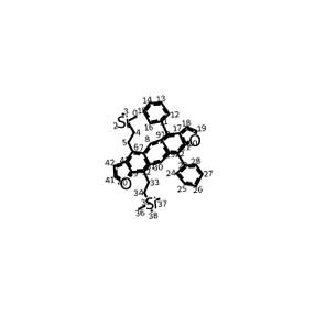 C[Si](C)(C)CCc1c2cc3c(-c4ccccc4)c4ccoc4c(-c4ccccc4)c3cc2c(CC[Si](C)(C)C)c2occc12